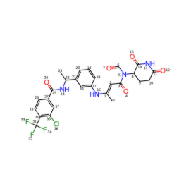 C/C(=C\C(=O)N(C=O)C1CCC(=O)NC1=O)Nc1cccc(C(C)NC(=O)c2ccc(C(F)(F)F)c(Cl)c2)c1